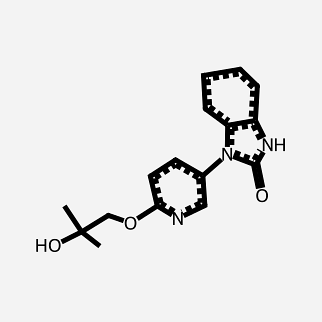 CC(C)(O)COc1ccc(-n2c(=O)[nH]c3ccccc32)cn1